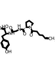 C=CCCCC(=O)N1CCC[C@H]1C(=O)NCC(=O)NC(Cc1ccc(O)cc1)C(=O)O